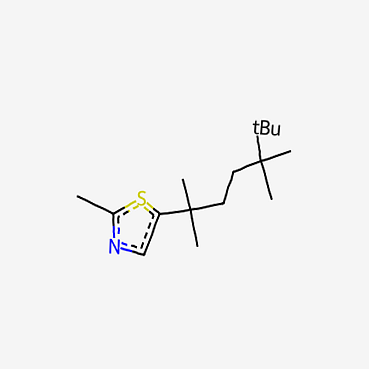 Cc1ncc(C(C)(C)CCC(C)(C)C(C)(C)C)s1